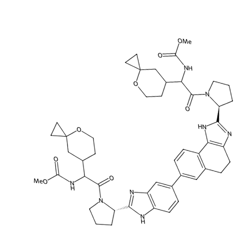 COC(=O)NC(C(=O)N1CCC[C@H]1c1nc2c([nH]1)-c1ccc(-c3ccc4[nH]c([C@@H]5CCCN5C(=O)C(NC(=O)OC)C5CCOC6(CC6)C5)nc4c3)cc1CC2)C1CCOC2(CC2)C1